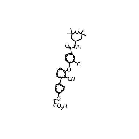 CC1(C)CC(NC(=O)c2ccc(Oc3cccc(-c4ccc(OCC(=O)O)cc4)c3C#N)c(Cl)c2)CC(C)(C)O1